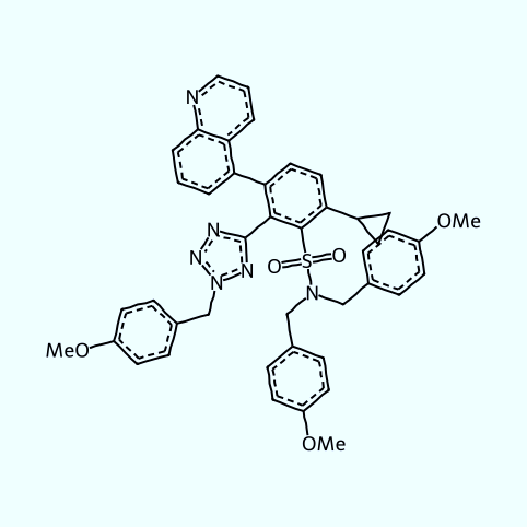 COc1ccc(CN(Cc2ccc(OC)cc2)S(=O)(=O)c2c(C3CC3)ccc(-c3cccc4ncccc34)c2-c2nnn(Cc3ccc(OC)cc3)n2)cc1